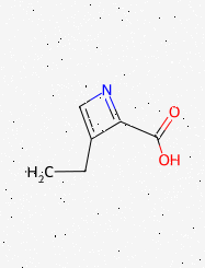 [CH2]CC1=CN=C1C(=O)O